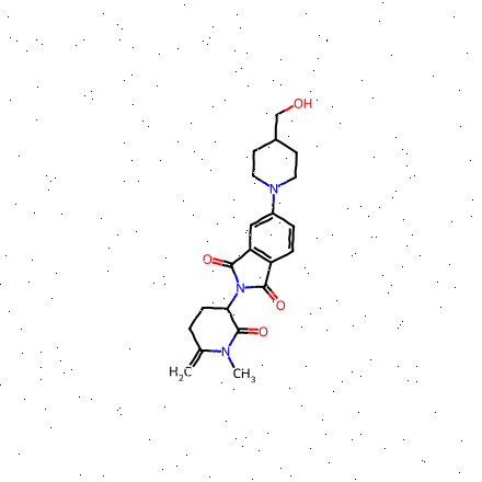 C=C1CCC(N2C(=O)c3ccc(N4CCC(CO)CC4)cc3C2=O)C(=O)N1C